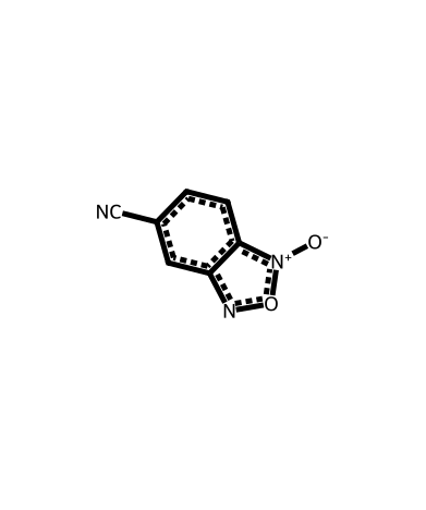 N#Cc1ccc2c(c1)no[n+]2[O-]